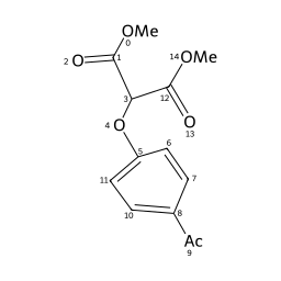 COC(=O)C(Oc1ccc(C(C)=O)cc1)C(=O)OC